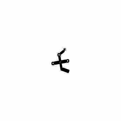 C=CS(=O)(=O)OF